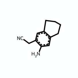 N#CCc1cc2c(cc1N)CCCC2